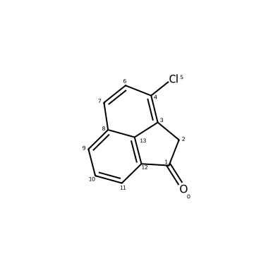 O=C1Cc2c(Cl)ccc3cccc1c23